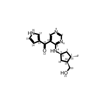 C[C@H]1C[C@H](Nc2ncncc2C(=O)c2cc[nH]c2)C[C@@H]1CO